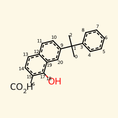 CC(C)(c1ccccc1)c1ccc2ccc(C(=O)O)c(O)c2c1